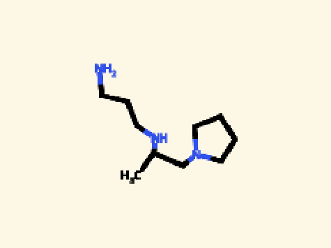 CC(CN1CCCC1)NCCCN